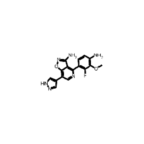 COc1c(N)ccc(-c2ncc(-c3cn[nH]c3)c3onc(N)c23)c1F